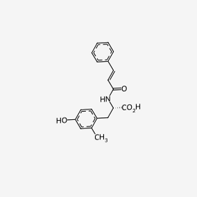 Cc1cc(O)ccc1C[C@H](NC(=O)C=Cc1ccccc1)C(=O)O